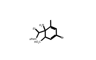 CCCCCC(CC)C1(N)C(C)=CC(Br)=CC1C(=O)O